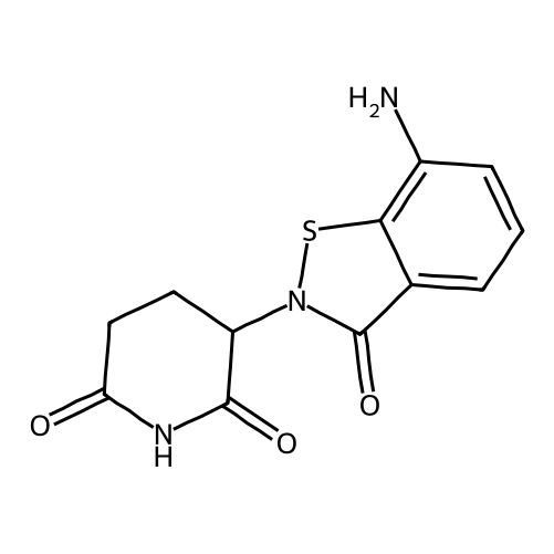 Nc1cccc2c(=O)n(C3CCC(=O)NC3=O)sc12